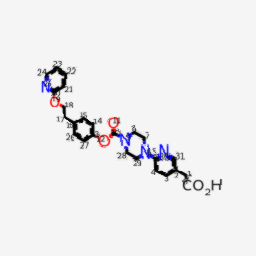 O=C(O)Cc1ccc(N2CCN(C(=O)Oc3ccc(CCOc4ccccn4)cc3)CC2)nc1